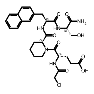 NC(=O)[C@H](CO)NC(=O)[C@H](Cc1ccc2ccccc2c1)NC(=O)[C@@H]1CCCCN1C(=O)[C@H](CCC(=O)O)NC(=O)CCl